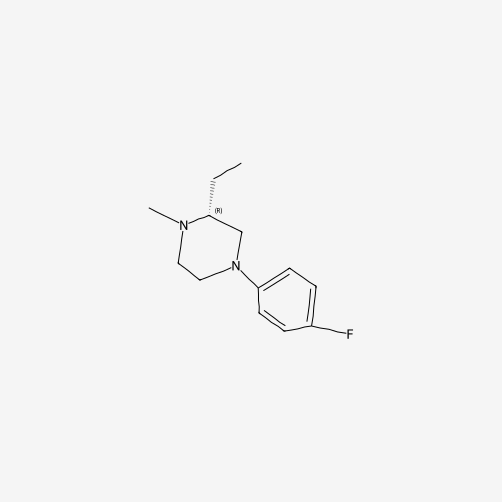 CC[C@@H]1CN(c2ccc(F)cc2)CCN1C